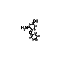 Nc1cc(O)ccc1Oc1ccccc1